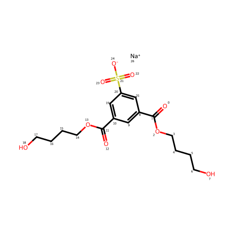 O=C(OCCCCO)c1cc(C(=O)OCCCCO)cc(S(=O)(=O)[O-])c1.[Na+]